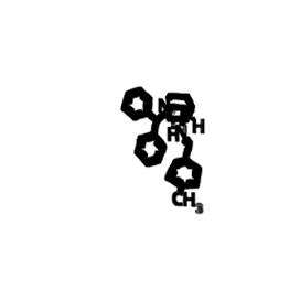 Cc1ccc(C=N[C@@H]2C3CCN(CC3)[C@@H]2C(c2ccccc2)c2ccccc2)cc1